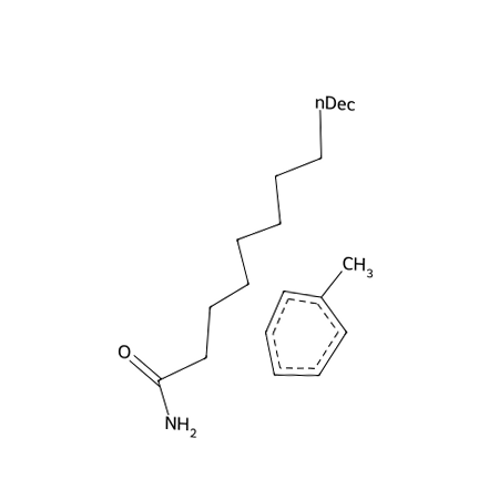 CCCCCCCCCCCCCCCCCC(N)=O.Cc1ccccc1